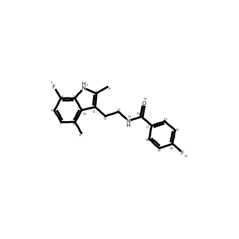 Cc1[nH]c2c(F)ccc(C)c2c1CCNC(=O)c1ccc(F)cc1